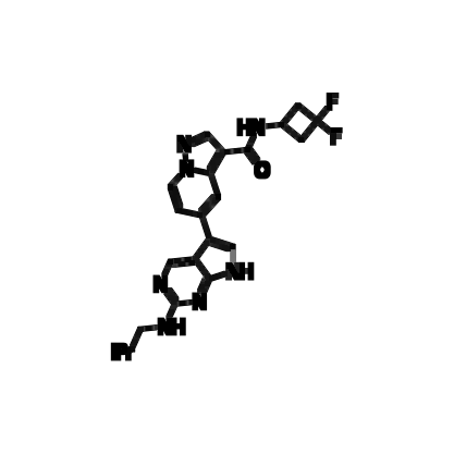 CC(C)CNc1ncc2c(-c3ccn4ncc(C(=O)NC5CC(F)(F)C5)c4c3)c[nH]c2n1